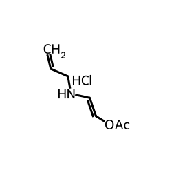 C=CCNC=COC(C)=O.Cl